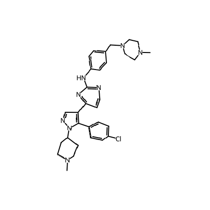 CN1CCC(n2ncc(-c3ccnc(Nc4ccc(CN5CCN(C)CC5)cc4)n3)c2-c2ccc(Cl)cc2)CC1